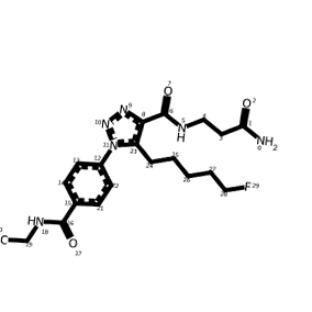 NC(=O)CCNC(=O)c1nnn(-c2ccc(C(=O)NCC(F)(F)F)cc2)c1CCCCCF